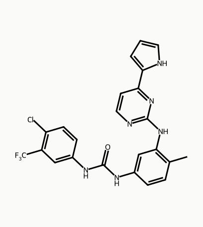 Cc1ccc(NC(=O)Nc2ccc(Cl)c(C(F)(F)F)c2)cc1Nc1nccc(-c2ccc[nH]2)n1